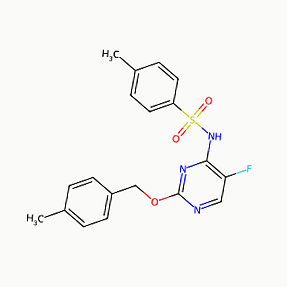 Cc1ccc(COc2ncc(F)c(NS(=O)(=O)c3ccc(C)cc3)n2)cc1